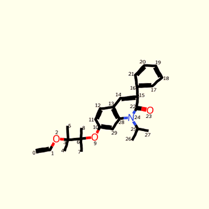 C=COC(C)(C)C(C)(C)Oc1ccc2cc(-c3ccccc3)c(=O)n(C(C)C)c2c1